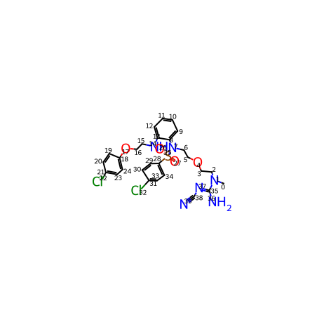 CN(CCOCCN(c1ccccc1NCCOc1ccc(Cl)cc1)S(=O)(=O)c1ccc(Cl)cc1)C(N)=NC#N